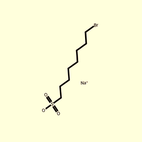 O=S(=O)([O-])CCCCCCCCBr.[Na+]